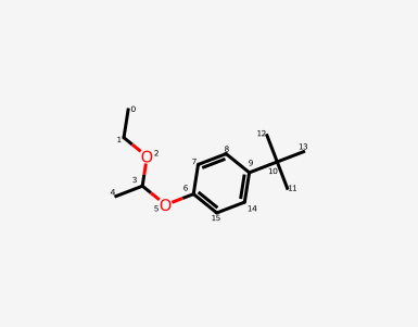 CCOC(C)Oc1ccc(C(C)(C)C)cc1